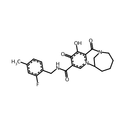 Cc1ccc(CNC(=O)c2cn3c(c(O)c2=O)C(=O)N2CCCCC3C2)c(F)c1